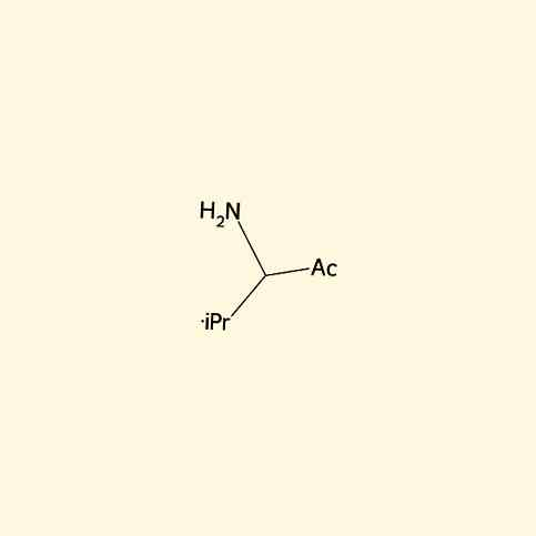 C[C](C)C(N)C(C)=O